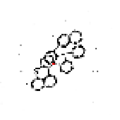 C1=CC2=C(c3cccc4cccc(c34)S2)C(c2ccccc2C2(c3ccccc3)c3ccccc3-c3ccc4ccccc4c32)C1